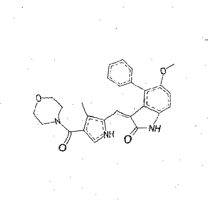 COc1ccc2c(c1-c1ccccc1)/C(=C/c1[nH]cc(C(=O)N3CCOCC3)c1C)C(=O)N2